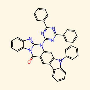 O=c1c2cc3c4ccccc4n(-c4ccccc4)c3cc2n(-c2nc(-c3ccccc3)nc(-c3ccccc3)n2)c2nc3ccccc3n12